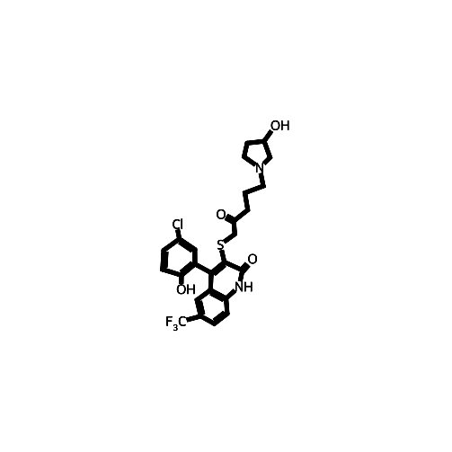 O=C(CCCN1CCC(O)C1)CSc1c(-c2cc(Cl)ccc2O)c2cc(C(F)(F)F)ccc2[nH]c1=O